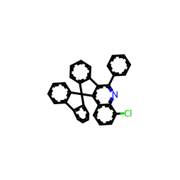 Clc1cccc2c3c(c(-c4ccccc4)nc12)-c1ccccc1C31c2ccccc2-c2ccccc21